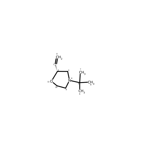 C=C[C@@H]1CN(C(C)(C)C)CCO1